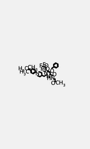 CC(=O)CNC(=O)c1nc(CC2CCN(c3ccc(C(C)(C)C)cc3)CC2)nc(OS(=O)(=O)C(F)(F)F)c1OCc1ccccc1